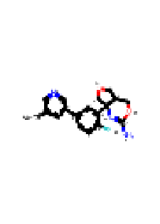 COc1cncc(-c2ccc(F)c(C34COCC3COC(N)=N4)c2)c1